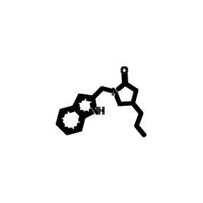 CCCC1CC(=O)N(Cc2cc3ccccc3[nH]2)C1